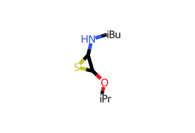 CCC(C)NC1SC1OC(C)C